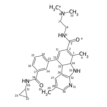 CC1=C(C(=O)NCCN(C)C)C=C(c2cccc(C(=O)NC3CC3)c2)C2c3cc(C)cnc3NC12